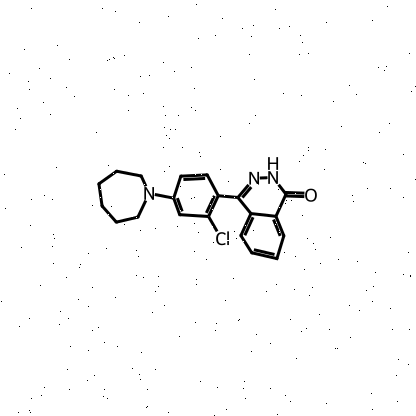 O=c1[nH]nc(-c2ccc(N3CCCCCC3)cc2Cl)c2ccccc12